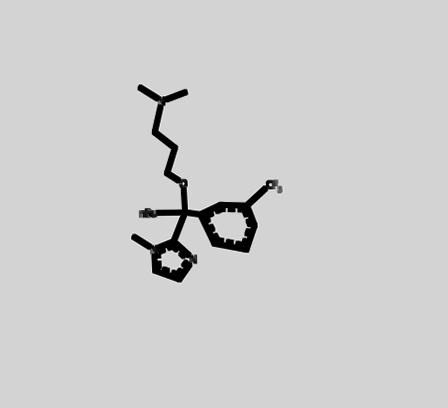 CCCCC(OCCCN(C)C)(c1cccc(C(F)(F)F)c1)c1nccn1C